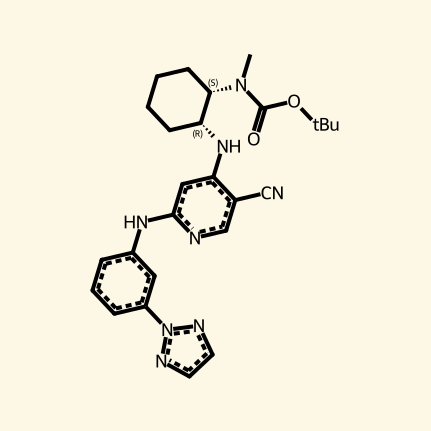 CN(C(=O)OC(C)(C)C)[C@H]1CCCC[C@H]1Nc1cc(Nc2cccc(-n3nccn3)c2)ncc1C#N